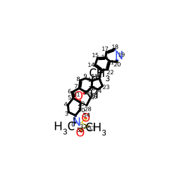 CN(C1CCC2=CC3=CC[C@]4(C)C(c5ccc6ccncc6c5)CC[C@H]4[C@@]34CC[C@]2(C1)O4)S(C)(=O)=O